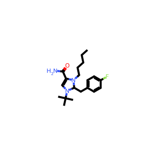 CCCCCN1C(C(N)=O)=CN(C(C)(C)C)C1Cc1ccc(F)cc1